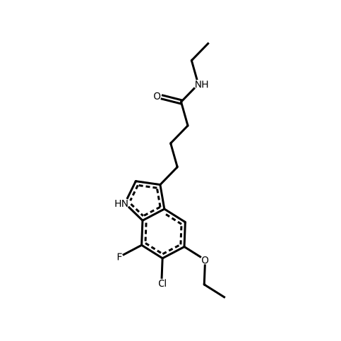 CCNC(=O)CCCc1c[nH]c2c(F)c(Cl)c(OCC)cc12